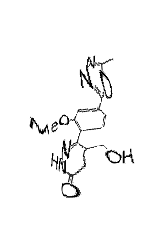 COc1cc(-c2nnc(C)o2)ccc1C1=NNC(=O)CC1CO